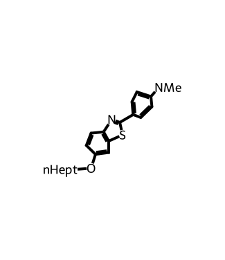 CCCCCCCOc1ccc2nc(-c3ccc(NC)cc3)sc2c1